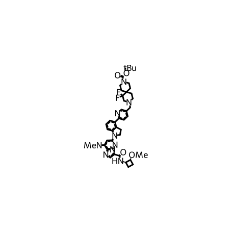 CNc1cc(N2CCc3c(-c4ccc(CN5CCC6(CCN(C(=O)OC(C)(C)C)CC6)C(F)(F)C5)cn4)cccc32)nn2c(C(=O)N[C@@H]3CC[C@H]3OC)cnc12